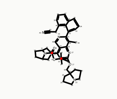 CC(C)(C)OC(=O)N1C2CCC1CN(c1nc(OCC34CCCN3CCC4)nc3c(F)c(-c4cccc5cccc(CC#N)c45)ncc13)C2